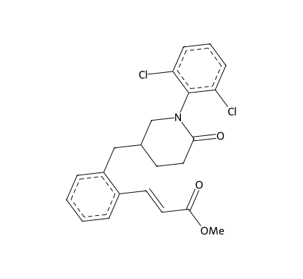 COC(=O)/C=C/c1ccccc1CC1CCC(=O)N(c2c(Cl)cccc2Cl)C1